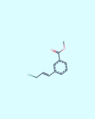 COC(=O)c1cccc(/C=C/CCl)c1